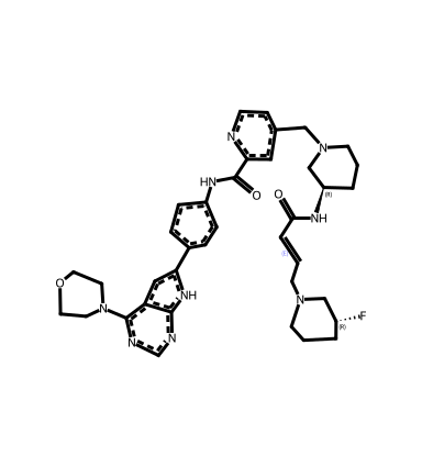 O=C(/C=C/CN1CCC[C@@H](F)C1)N[C@@H]1CCCN(Cc2ccnc(C(=O)Nc3ccc(-c4cc5c(N6CCOCC6)ncnc5[nH]4)cc3)c2)C1